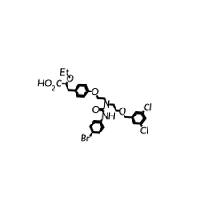 CCOC(Cc1ccc(OCCN(CCOCc2cc(Cl)cc(Cl)c2)C(=O)Nc2ccc(Br)cc2)cc1)C(=O)O